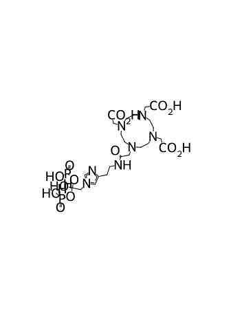 O=C(O)CN1CCN(CC(=O)O)CCN(CC(=O)NCCc2cn(CC(O)(O[PH](=O)O)O[PH](=O)O)cn2)CCN(CC(=O)O)CC1